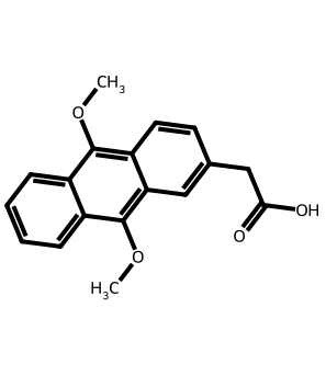 COc1c2ccccc2c(OC)c2cc(CC(=O)O)ccc12